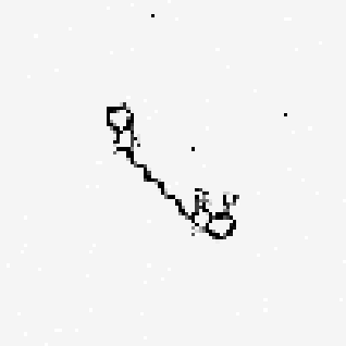 CCc1cccc2sc(C=CC=CC=CC=C3Nc4ccccc4S3)[n+](CC)c12.[I-]